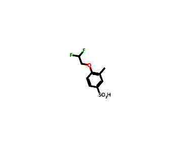 Cc1cc(S(=O)(=O)O)ccc1OCC(F)F